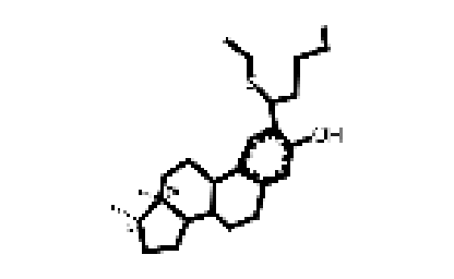 CCCCC(SCC)c1cc2c(cc1O)CCC1C2CC[C@@]2(C)C1CC[C@@H]2C